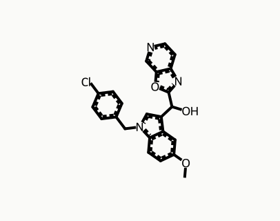 COc1ccc2c(c1)c(C(O)c1nc3ccncc3o1)cn2Cc1ccc(Cl)cc1